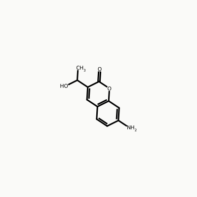 CC(O)c1cc2ccc(N)cc2oc1=O